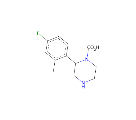 Cc1cc(F)ccc1C1CNCCN1C(=O)O